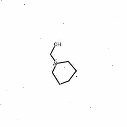 O[CH2][Al]1[CH2]CCC[CH2]1